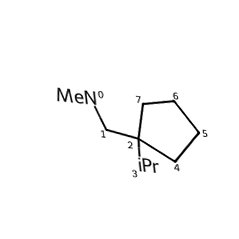 CNCC1(C(C)C)CCCC1